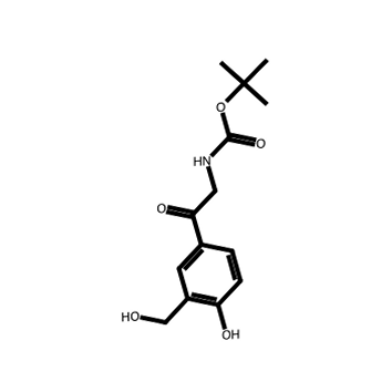 CC(C)(C)OC(=O)NCC(=O)c1ccc(O)c(CO)c1